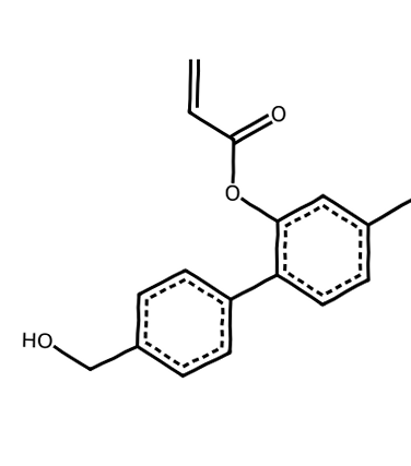 C=CC(=O)Oc1cc(C)ccc1-c1ccc(CO)cc1